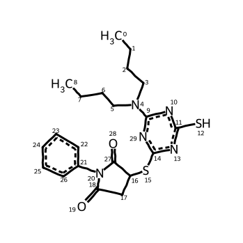 CCCCN(CCCC)c1nc(S)nc(SC2CC(=O)N(c3ccccc3)C2=O)n1